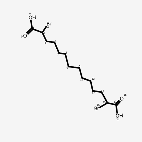 O=C(O)C(Br)CCCCCCCCCCC(Br)C(=O)O